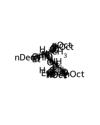 CCCCCCCCCC[C@@H](CC)OC(=O)CCCCCN(CCCCCCC(C)(C)C(=O)OC(CCCCCCCC)CCCCCCCC)CCNC(=O)CCC(=O)NCCN(CCCCCCCC(=O)OC(CCCCCCCC)CCCCCCCC)CCCCC(C)(C)C(=O)O[C@H](CC)CCCCCCCCCC